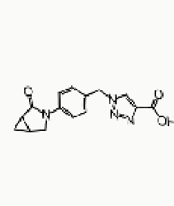 O=C(O)c1cn(Cc2ccc(N3CC4CC4C3=O)cc2)nn1